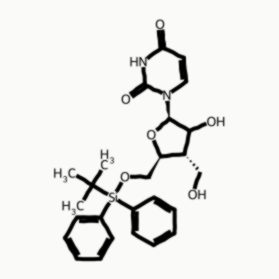 CC(C)(C)[Si](OC[C@H]1O[C@@H](n2ccc(=O)[nH]c2=O)C(O)[C@@H]1CO)(c1ccccc1)c1ccccc1